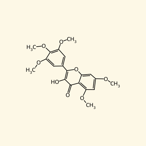 COc1cc(OC)c2c(=O)c(O)c(-c3cc(OC)c(OC)c(OC)c3)oc2c1